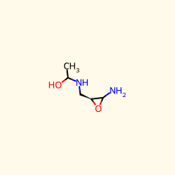 CC(O)NC[C@@H]1OC1N